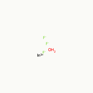 O.[F-].[F-].[F-].[In+3]